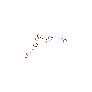 C=CC(=O)OCCCOc1ccc(C(=O)OCc2ccccc2OC(=O)c2ccc(OCCCOC(=O)C=C)cc2)cc1